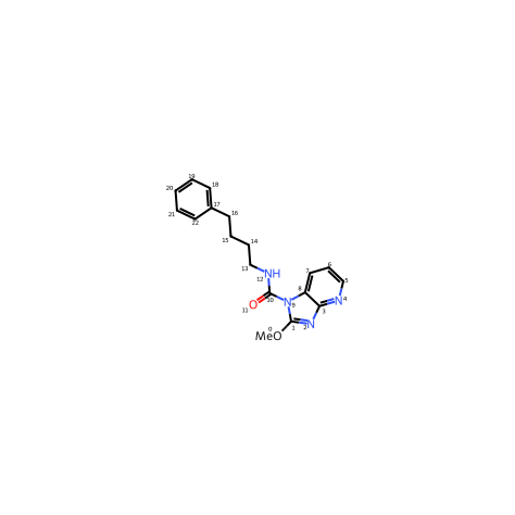 COc1nc2ncccc2n1C(=O)NCCCCc1ccccc1